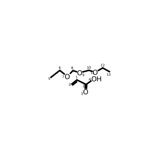 C=CC(=O)O.CCOCOCOCC